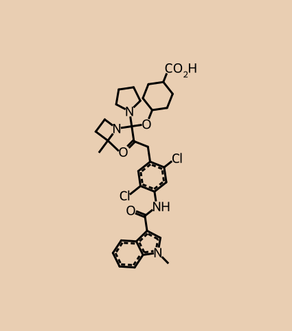 Cn1cc(C(=O)Nc2cc(Cl)c(CC(=O)C(OC3CCC(C(=O)O)CC3)(N3CCCC3)N3CCC3(C)C)cc2Cl)c2ccccc21